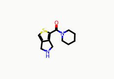 O=C(c1scc2c1CNC2)N1CCCCC1